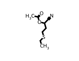 CCSCCC(C#N)OC(C)=O